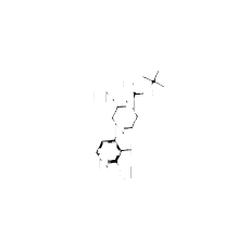 CC(C)(C)OC(=O)N1CCN(c2ccnc(Cl)c2F)C[C@@H]1N